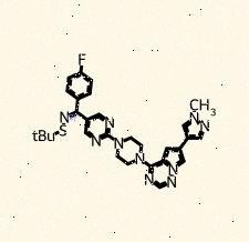 Cn1cc(-c2cc3c(N4CCN(c5ncc(/C(=N\SC(C)(C)C)c6ccc(F)cc6)cn5)CC4)ncnn3c2)cn1